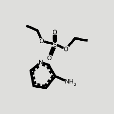 CCOS(=O)(=O)OCC.Nc1cccnc1